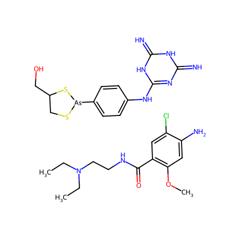 CCN(CC)CCNC(=O)c1cc(Cl)c(N)cc1OC.N=c1nc(Nc2ccc([As]3SCC(CO)S3)cc2)[nH]c(=N)[nH]1